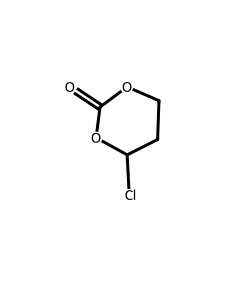 O=C1OCCC(Cl)O1